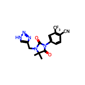 CC1(C)C(=O)N(c2ccc(C#N)c(C(F)(F)F)c2)C(=O)N1Cc1c[nH]nn1